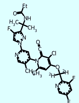 [2H]C([2H])(OC1=C(Cl)C(=C=O)N(c2cc(-n3cc(F)c(C(C)(C)NC(=O)CC)n3)ncc2C)C(C)=C1)c1ncc(F)cc1F